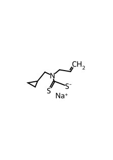 C=CCN(CC1CC1)C(=S)[S-].[Na+]